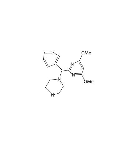 COc1cc(OC)nc(C(c2ccccc2)N2CC[N]CC2)n1